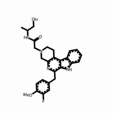 COc1ccc(Cc2nc3c(c4c2[nH]c2ccccc24)CCN(CC(=O)NC(C)CO)C3)cc1F